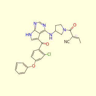 C/C=C(\C#N)C(=O)N1CCC(Nc2ncnc3[nH]cc(C(=O)c4ccc(Oc5ccccc5)cc4Cl)c23)C1